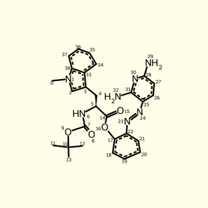 Cn1cc(C[C@H](NC(=O)OC(C)(C)C)C(=O)Oc2ccccc2/N=N/c2ccc(N)nc2N)c2ccccc21